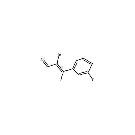 C/C(=C(/Br)C=O)c1cccc(F)c1